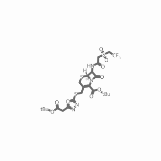 CC(C)(C)OC(=O)Cc1nnc(SCC2=C(C(=O)OC(C)(C)C)N3C(=O)C(NC(=O)CS(=O)(=O)CC(F)(F)F)[C@H]3SC2)o1